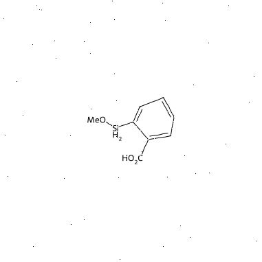 CO[SiH2]c1ccccc1C(=O)O